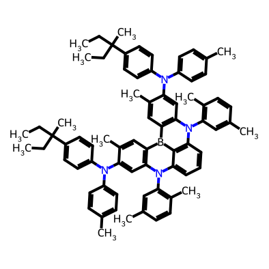 CCC(C)(CC)c1ccc(N(c2ccc(C)cc2)c2cc3c(cc2C)B2c4cc(C)c(N(c5ccc(C)cc5)c5ccc(C(C)(CC)CC)cc5)cc4N(c4cc(C)ccc4C)c4cccc(c42)N3c2cc(C)ccc2C)cc1